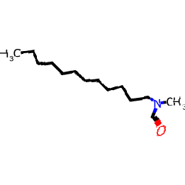 CCCCCCCCCCCCN(C)C=O